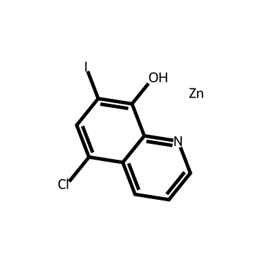 Oc1c(I)cc(Cl)c2cccnc12.[Zn]